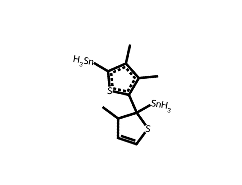 Cc1[c]([SnH3])sc([C]2([SnH3])SC=CC2C)c1C